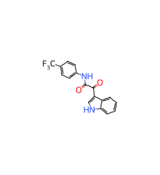 O=C(Nc1ccc(C(F)(F)F)cc1)C(=O)c1c[nH]c2ccccc12